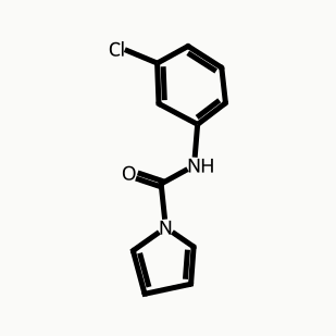 O=C(Nc1cccc(Cl)c1)n1cccc1